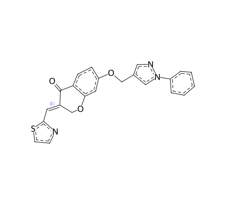 O=C1/C(=C/c2nccs2)COc2cc(OCc3cnn(-c4ccccc4)c3)ccc21